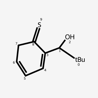 CC(C)(C)C(O)C1=CC=CCC1=S